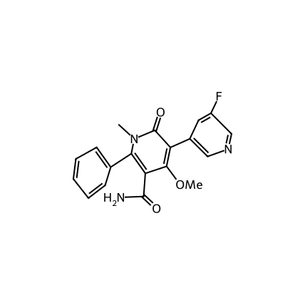 COc1c(C(N)=O)c(-c2ccccc2)n(C)c(=O)c1-c1cncc(F)c1